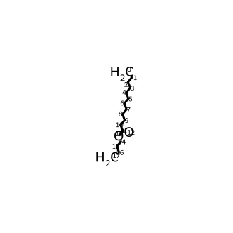 C=CCCCCCCCCCC(=O)OCCC=C